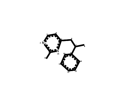 Cc1nccc(CC(C)c2ccccc2)n1